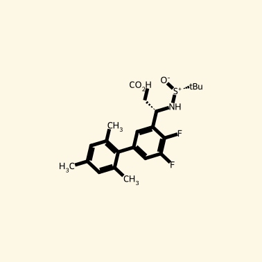 Cc1cc(C)c(-c2cc(F)c(F)c([C@H](CC(=O)O)N[S@+]([O-])C(C)(C)C)c2)c(C)c1